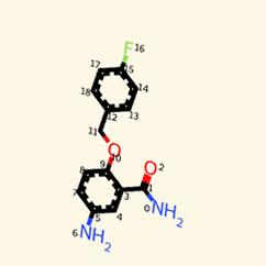 NC(=O)c1cc(N)ccc1OCc1ccc(F)cc1